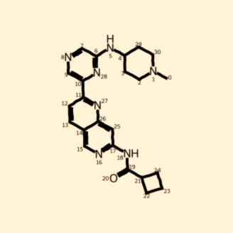 CN1CCC(Nc2cncc(-c3ccc4cnc(NC(=O)C5CCC5)cc4n3)n2)CC1